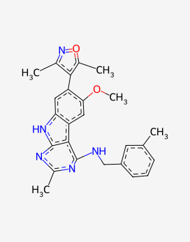 COc1cc2c(cc1-c1c(C)noc1C)[nH]c1nc(C)nc(NCc3cccc(C)c3)c12